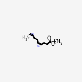 C/C=C\CC/C=C\CCC(=O)OC